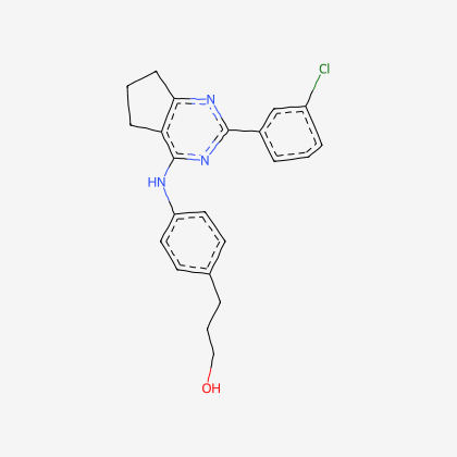 OCCCc1ccc(Nc2nc(-c3cccc(Cl)c3)nc3c2CCC3)cc1